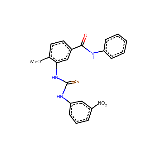 COc1ccc(C(=O)Nc2ccccc2)cc1NC(=S)Nc1cccc([N+](=O)[O-])c1